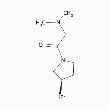 CC(C)[C@@H]1CCN(C(=O)CN(C)C)C1